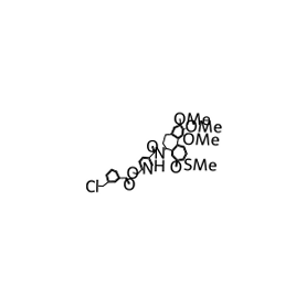 COc1cc2c(c(OC)c1OC)-c1ccc(SC)c(=O)cc1[C@@H](NC(=O)c1ccc(COC(=O)c3cccc(CCl)c3)nc1)CC2